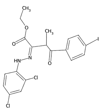 CCOC(=O)/C(=N\Nc1ccc(Cl)cc1Cl)C(C)C(=O)c1ccc(I)cc1